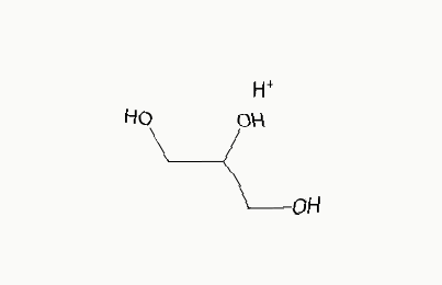 OCC(O)CO.[H+]